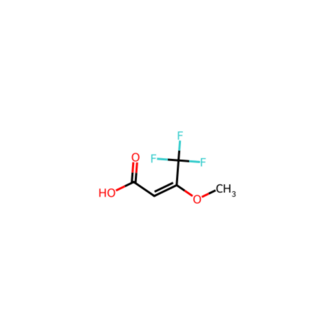 COC(=CC(=O)O)C(F)(F)F